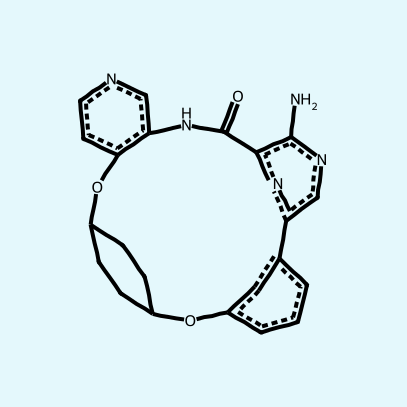 Nc1ncc2nc1C(=O)Nc1cnccc1OC1CCC(CC1)Oc1cccc-2c1